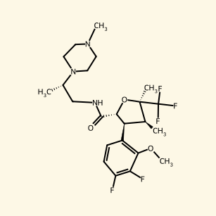 COc1c([C@H]2[C@H](C(=O)NC[C@H](C)N3CCN(C)CC3)O[C@@](C)(C(F)(F)F)[C@H]2C)ccc(F)c1F